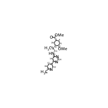 COC(=O)c1ccc(OC)c(C(C)CNc2cc(-c3ccc(C)nc3)ncn2)c1